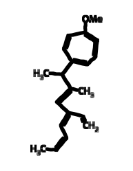 C=CC(=C\C=C/C)/C=C(\C)C(C)C1=CC=C=C(OC)C=C1